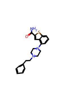 NC(=O)c1cc2c(N3CCN(CCc4ccccc4)CC3)cccc2s1